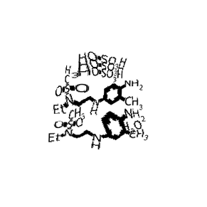 CCN(CCNc1ccc(N)c(C)c1)S(C)(=O)=O.CCN(CCNc1ccc(N)c(C)c1)S(C)(=O)=O.O.O=S(=O)(O)O.O=S(=O)(O)O.O=S(=O)(O)O